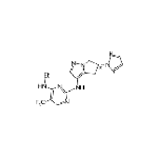 CCNc1nc(Nc2cnn3c2C[C@@H](n2nccn2)C3)ncc1C(F)(F)F